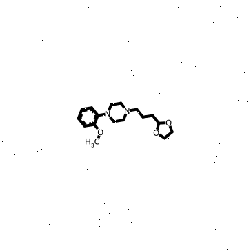 COc1ccccc1N1CCN(CCCC2OCCO2)CC1